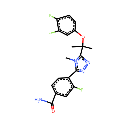 Cn1c(-c2ccc(C(N)=O)cc2F)nnc1C(C)(C)Oc1ccc(F)c(F)c1